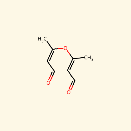 CC(=CC=O)OC(C)=CC=O